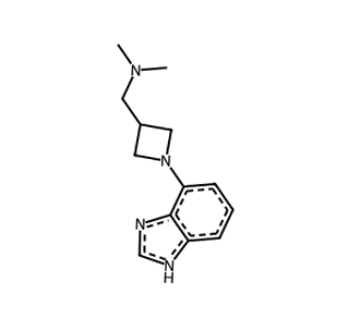 CN(C)CC1CN(c2cccc3[nH]cnc23)C1